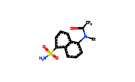 CCN(C(=O)C(F)(F)F)c1cccc2c(S(N)(=O)=O)cccc12